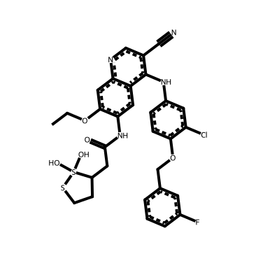 CCOc1cc2ncc(C#N)c(Nc3ccc(OCc4cccc(F)c4)c(Cl)c3)c2cc1NC(=O)CC1CCSS1(O)O